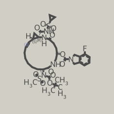 CC(C)(C)OC(=O)N([C@H]1CCCCC/C=C\[C@@H]2C[C@@]2(C(=O)NS(=O)(=O)C2CC2)NC(=O)CC[C@@H](OC(=O)N2Cc3cccc(F)c3C2)CNC1=O)S(C)(=O)=O